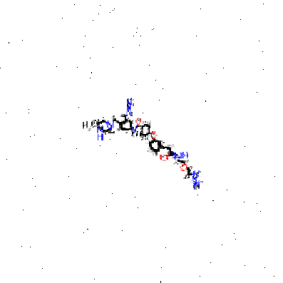 C[C@H]1CN(Cc2ccc(N(C)C(=O)[C@H]3CC[C@H](Oc4cccc(CC(=O)NCCOCCN=[N+]=[N-])c4)CC3)cc2CN=[N+]=[N-])CCN1